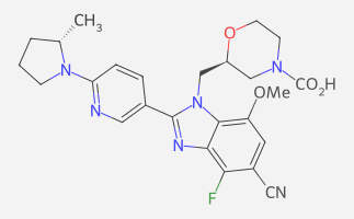 COc1cc(C#N)c(F)c2nc(-c3ccc(N4CCC[C@@H]4C)nc3)n(C[C@@H]3CN(C(=O)O)CCO3)c12